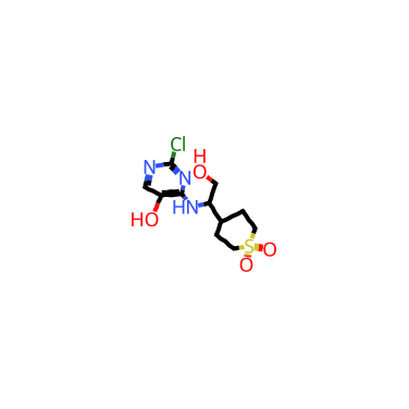 O=S1(=O)CCC(C(CO)Nc2nc(Cl)ncc2O)CC1